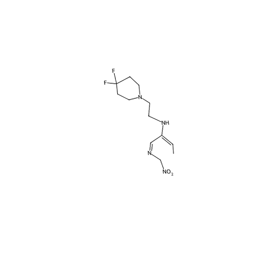 C/C=C(\C=N/C[N+](=O)[O-])NCCN1CCC(F)(F)CC1